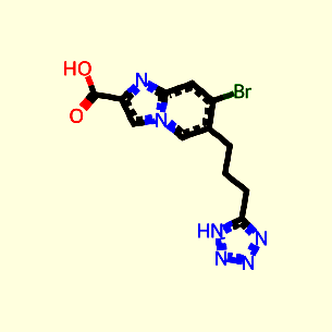 O=C(O)c1cn2cc(CCCc3nnn[nH]3)c(Br)cc2n1